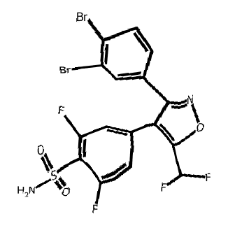 NS(=O)(=O)c1c(F)cc(-c2c(-c3ccc(Br)c(Br)c3)noc2C(F)F)cc1F